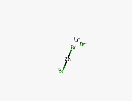 [Br-].[Br][Zn][Br].[Li+]